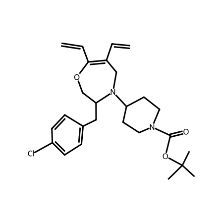 C=CC1=C(C=C)OCC(Cc2ccc(Cl)cc2)N(C2CCN(C(=O)OC(C)(C)C)CC2)C1